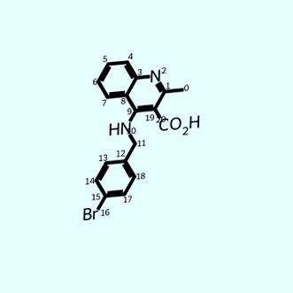 Cc1nc2ccccc2c(NCc2ccc(Br)cc2)c1C(=O)O